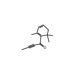 CC#CC(=O)C1=C(C)C=CCC1(C)C